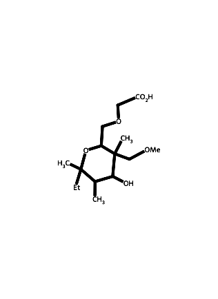 CCC1(C)OC(COCC(=O)O)C(C)(COC)C(O)C1C